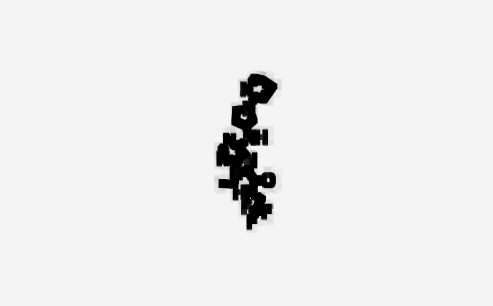 CCn1c(C(=O)NCC(F)(F)F)nc2c(NC3CCN(c4ccccn4)C3)ncnc21